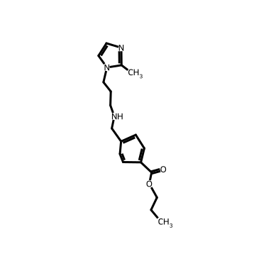 CCCOC(=O)c1ccc(CNCCCn2ccnc2C)cc1